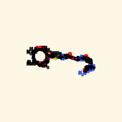 CO[C@H]1CC2CC[C@@H](C)[C@@](O)(O2)C(=O)C(=O)N2CCCC[C@H]2C(=O)O[C@H](CC[C@@H]2CC[C@@H](OC(=S)NCc3cnc(N4CCN(C(=O)CCOCCN5CCN(c6ncc(C(=O)N7CCc8cc(Cn9nc(-c%10ccc%11oc(N)nc%11c%10)c%10c(N)ncnc%109)ccc8C7)cn6)CC5)CC4)nc3)[C@H](OC)C2)CC(=O)[C@H](C)/C=C(\C)[C@@H](O)CC(=O)[C@H](C)C[C@H](C)/C=C/C=C/C=C/1C